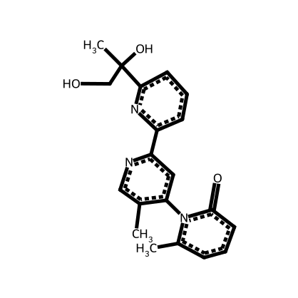 Cc1cnc(-c2cccc(C(C)(O)CO)n2)cc1-n1c(C)cccc1=O